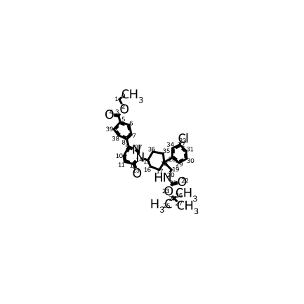 CCOC(=O)c1ccc(-c2ccc(=O)n(C3CCC(CNC(=O)OC(C)(C)C)(c4cccc(Cl)c4)CC3)n2)cc1